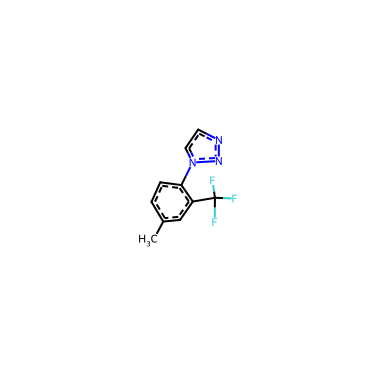 Cc1ccc(-n2ccnn2)c(C(F)(F)F)c1